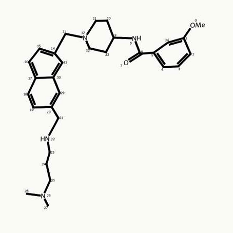 COc1cccc(C(=O)NC2CCN(Cc3ccc4ccc(CNCCCN(C)C)cc4c3)CC2)c1